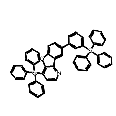 c1ccc([Si](c2ccccc2)(c2ccccc2)c2cccc(-c3ccc4oc5c([Si](c6ccccc6)(c6ccccc6)c6ccccc6)ccnc5c4c3)c2)cc1